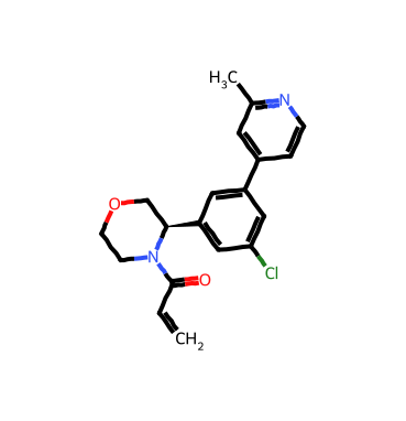 C=CC(=O)N1CCOC[C@H]1c1cc(Cl)cc(-c2ccnc(C)c2)c1